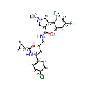 CC(C)(C)N1CC(C(=O)NCCCC(NC(=O)C2CC2)C2=CC=C(Cl)CC2)[C@H](C2C=CC(F)=CC2F)C1